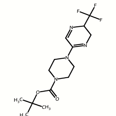 CC(C)(C)OC(=O)N1CCN(C2=NCC(C(F)(F)F)N=C2)CC1